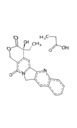 CCC(=O)O.CC[C@@]1(O)C(=O)OCc2c1cc1n(c2=O)Cc2cc3ccccc3nc2-1